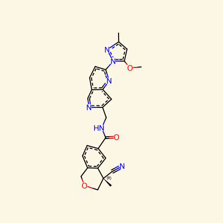 COc1cc(C)nn1-c1ccc2cnc(CNC(=O)c3ccc4c(c3)[C@](C)(C#N)COC4)cc2n1